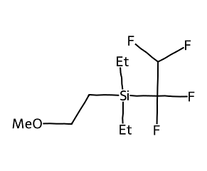 CC[Si](CC)(CCOC)C(F)(F)C(F)F